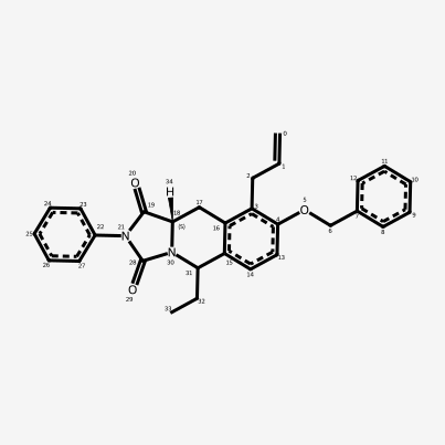 C=CCc1c(OCc2ccccc2)ccc2c1C[C@H]1C(=O)N(c3ccccc3)C(=O)N1C2CC